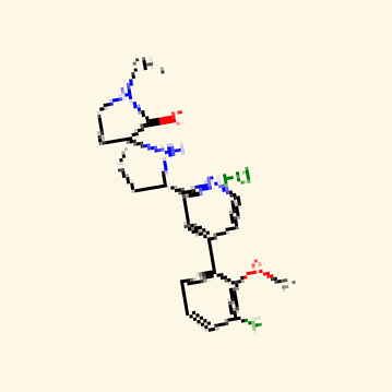 CCOc1c(F)cccc1-c1ccnc([C@H]2CC[C@@]3(CCN(C)C3=O)N2)c1.Cl